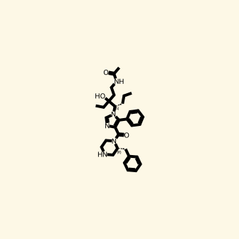 CCC[C@H](n1cnc(C(=O)N2CCNC[C@H]2Cc2ccccc2)c1-c1ccccc1)C(O)(CC)CCNC(C)=O